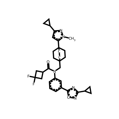 Cn1nc(C2CC2)cc1C12CCC(CN(C(=O)C3CC(F)(F)C3)c3cccc(-c4nc(C5CC5)no4)c3)(CC1)CC2